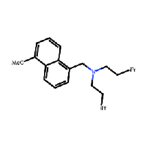 COc1cccc2c(CN(CCC(C)C)CCC(C)C)cccc12